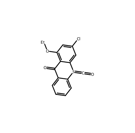 CCOc1cc(Cl)cc2c1C(=O)c1ccccc1S2=C=O